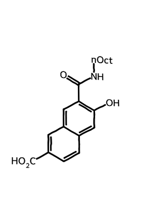 CCCCCCCCNC(=O)c1cc2cc(C(=O)O)ccc2cc1O